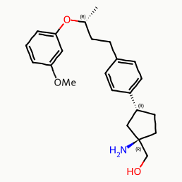 COc1cccc(O[C@H](C)CCc2ccc([C@@H]3CC[C@](N)(CO)C3)cc2)c1